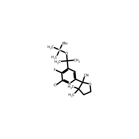 CC(C)(O[Si](C)(C)C(C)(C)C)c1cc(C2(C#N)OCCC2(C)C)nc(Cl)c1F